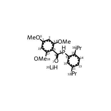 COc1cc(OC)c(C(=O)Pc2cc(C(C)C)ccc2C(C)C)c(OC)c1.[LiH]